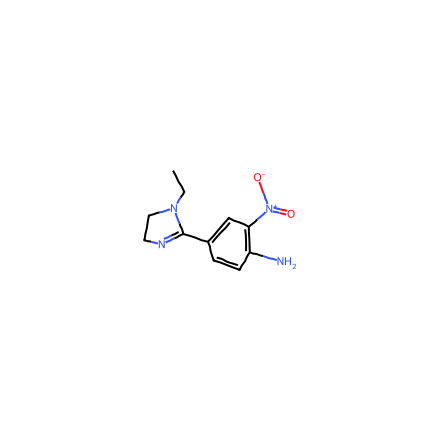 CCN1CCN=C1c1ccc(N)c([N+](=O)[O-])c1